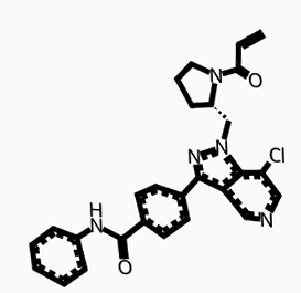 C=CC(=O)N1CCC[C@H]1Cn1nc(-c2ccc(C(=O)Nc3ccccc3)cc2)c2cncc(Cl)c21